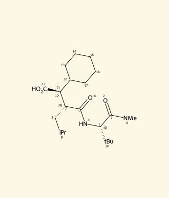 CNC(=O)[C@@H](NC(=O)[C@H](CC(C)C)[C@@H](C(=O)O)C1CCCCC1)C(C)(C)C